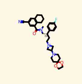 CN(C[C@@H](CCN1CC(N2CCC3(CC2)OCCO3)C1)c1ccc(F)cc1)C(=O)c1cc(C#N)cc2c1CCCC2